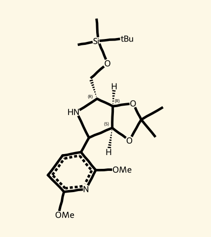 COc1ccc(C2N[C@H](CO[Si](C)(C)C(C)(C)C)[C@H]3OC(C)(C)O[C@@H]23)c(OC)n1